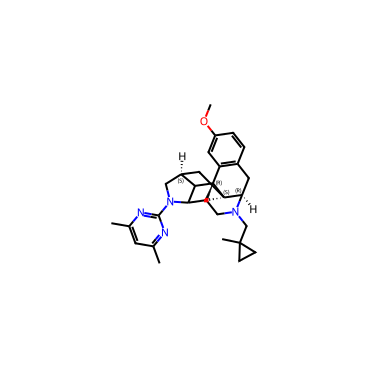 COc1ccc2c(c1)[C@]13CCN(CC4(C)CC4)[C@H](C2)[C@]12CCC1C3[C@@H](CN1c1nc(C)cc(C)n1)C2